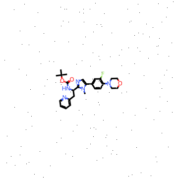 Cn1c(-c2ccc(N3CCOCC3)c(F)c2)cnc1C(Cc1ccccn1)NC(=O)OC(C)(C)C